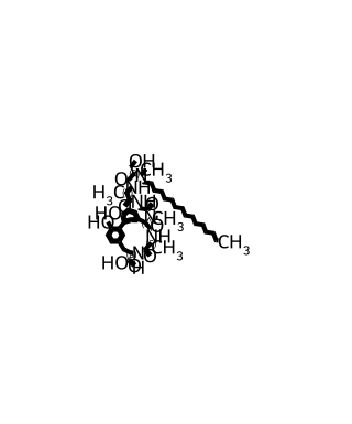 CCCCCCCCCCCCCCCCN(C)[C@H](CO)C(=O)N[C@H](C)C(=O)NCC(=O)N(C)[C@@H]1C(=O)N[C@@H](C)C(=O)N[C@H](C(=O)O)Cc2ccc(O)c(c2)-c2cc1ccc2O